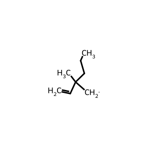 [CH2]C(C)(C=C)CCC